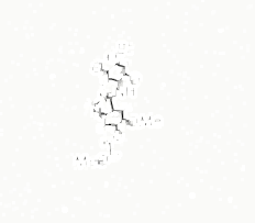 CCOC1=CC(=O)C(Nc2ncnc3cc(OCCOC)c(OC)cc23)=CC1=O